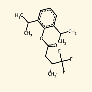 [CH2][C@H](CC(=O)Oc1c(C(C)C)cccc1C(C)C)C(F)(F)F